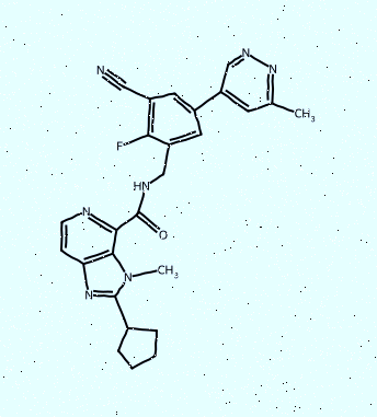 Cc1cc(-c2cc(C#N)c(F)c(CNC(=O)c3nccc4nc(C5CCCC5)n(C)c34)c2)cnn1